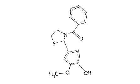 COc1cc(C2SCCN2C(=O)c2ccccc2)ccc1O